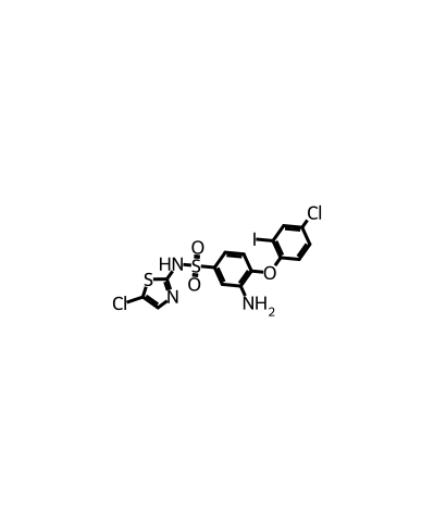 Nc1cc(S(=O)(=O)Nc2ncc(Cl)s2)ccc1Oc1ccc(Cl)cc1I